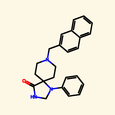 O=C1NCN(c2ccccc2)C12CCN(Cc1ccc3ccccc3c1)CC2